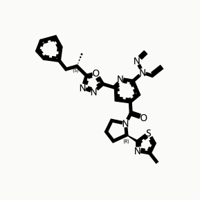 C=CN(N=C)c1cc(C(=O)N2CCC[C@@H]2c2nc(C)cs2)cc(-c2nnc([C@@H](C)Cc3ccccc3)o2)n1